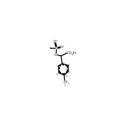 CCOC(=O)C(OS(C)(=O)=O)c1ccc(C(F)(F)F)cc1